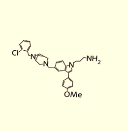 COc1ccc(-c2cn(CCCN)c3ccc(CN4CC5CC(C4)N(Cc4ccccc4Cl)C5)cc23)cc1